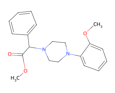 COC(=O)C(c1ccccc1)N1CCN(c2ccccc2OC)CC1